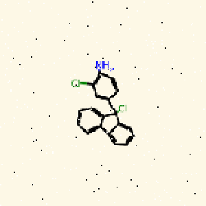 Nc1ccc(C2(Cl)c3ccccc3-c3ccccc32)cc1Cl